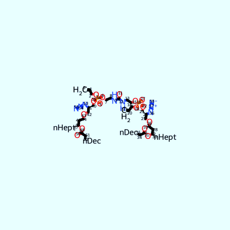 C=CCOP(=O)(OCCNC(=O)NCCOP(=O)(OCC=C)OC[C@@H](COCC[C@@H](CCCCCCC)OC(=O)CCCCCCCCCCC)N=[N+]=[N-])OC[C@@H](COCC[C@@H](CCCCCCC)OC(=O)CCCCCCCCCCC)N=[N+]=[N-]